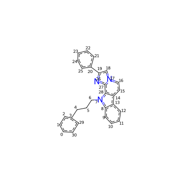 c1ccc(CCCn2c3ccccc3c3ccn4cc(-c5ccccc5)nc4c32)cc1